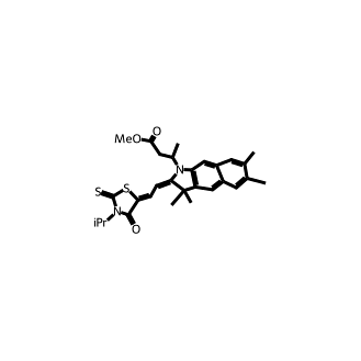 COC(=O)CC(C)N1/C(=C/C=C2\SC(=S)N(C(C)C)C2=O)C(C)(C)c2cc3cc(C)c(C)cc3cc21